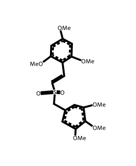 COc1cc(OC)c(/C=C/S(=O)(=O)Cc2cc(OC)c(OC)c(OC)c2)c(OC)c1